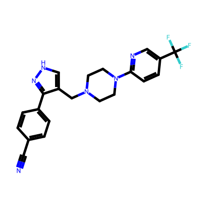 N#Cc1ccc(-c2n[nH]cc2CN2CCN(c3ccc(C(F)(F)F)cn3)CC2)cc1